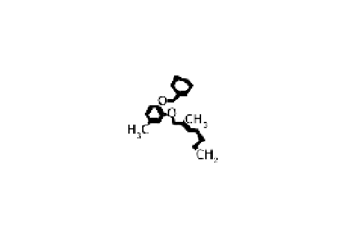 C=C/C=C\C=C(/C)COc1cc(C)ccc1OCc1ccccc1